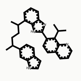 CC(C)c1c(-c2nc3cccc(C(C)CCC(C)c4ccc5cc[nH]c5c4)c3[nH]2)ccc2cccnc12